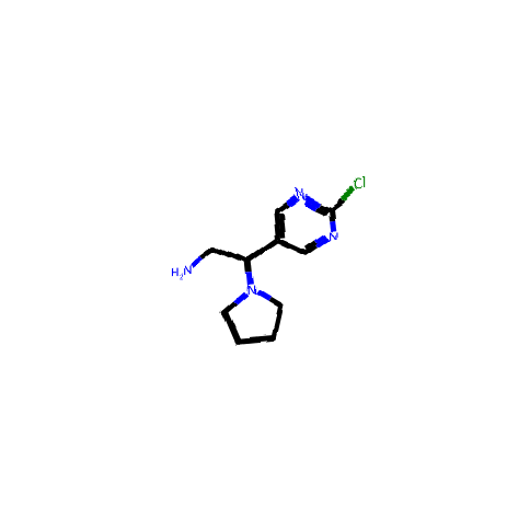 NCC(c1cnc(Cl)nc1)N1CCCC1